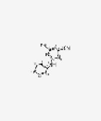 CCc1cc(C#N)nc(Nc2ccccc2)n1